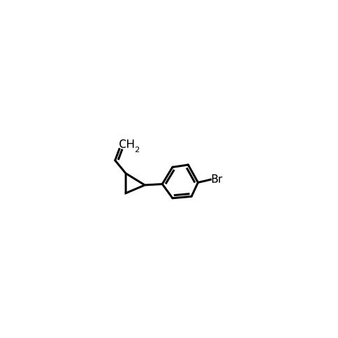 C=CC1CC1c1ccc(Br)cc1